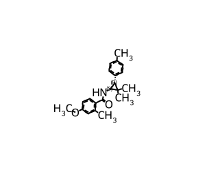 COc1ccc(C(=O)N[C@H]2[C@H](c3ccc(C)cc3)C2(C)C)c(C)c1